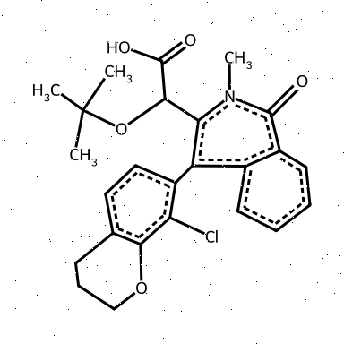 Cn1c(C(OC(C)(C)C)C(=O)O)c(-c2ccc3c(c2Cl)OCCC3)c2ccccc2c1=O